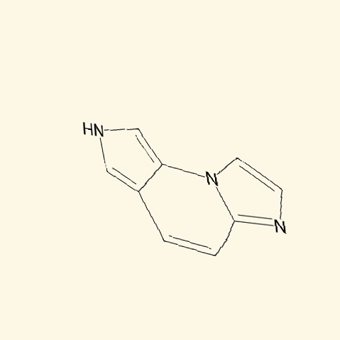 c1cn2c(ccc3c[nH]cc32)n1